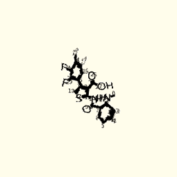 CNc1ccccc1C(=O)Nc1scc(-c2ccc(C)c(F)c2F)c1C(=O)O